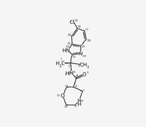 CC(C)(NC(=O)C1CNCCOC1)c1nc2ccc(Cl)cc2[nH]1